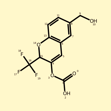 O=C(O)OC1=Cc2cc(CO)ccc2OC1C(F)(F)F